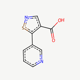 O=C(O)c1cnsc1-c1cccnc1